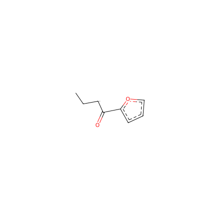 CC[CH]C(=O)c1ccco1